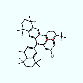 Cc1cc(Cl)cc(N(C2=CC(C)C3C(=C2)C(C)(C)CCC3(C)C)c2cc3c(cc2-c2ccc(C(C)(C)C)cc2)C(C)(C)CCC3(C)C)c1